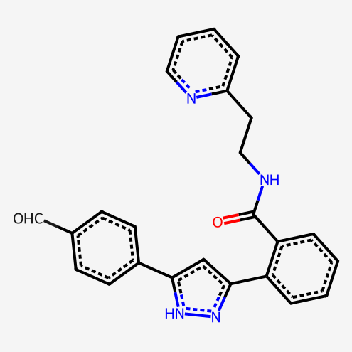 O=Cc1ccc(-c2cc(-c3ccccc3C(=O)NCCc3ccccn3)n[nH]2)cc1